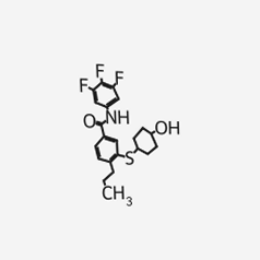 CCCc1ccc(C(=O)Nc2cc(F)c(F)c(F)c2)cc1SC1CCC(O)CC1